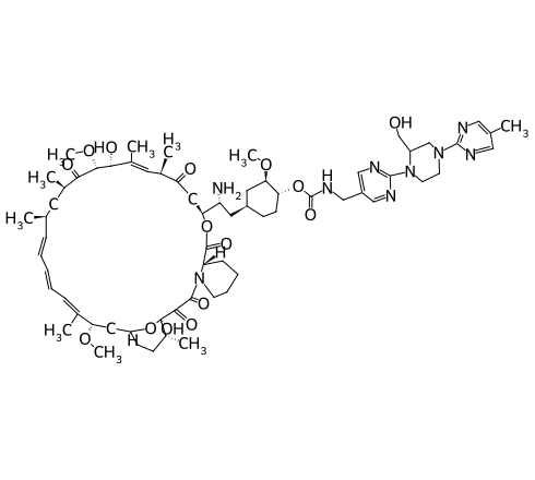 CO[C@H]1C[C@@H]2CC[C@@H](C)[C@@](O)(O2)C(=O)C(=O)N2CCCC[C@H]2C(=O)O[C@H]([C@H](N)C[C@@H]2CC[C@@H](OC(=O)NCc3cnc(N4CCN(c5ncc(C)cn5)CC4CO)nc3)[C@H](OC)C2)CC(=O)[C@H](C)/C=C(\C)[C@@H](O)[C@@H](OC)C(=O)[C@H](C)C[C@H](C)/C=C/C=C/C=C/1C